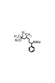 CNC(SCC(C)CC(C)(C)OC(C)=O)c1ccccc1